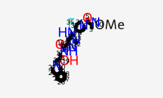 CO/N=C(\C)C(=O)N1CCC(Nc2cc(C(=O)NC[C@H](O)CN3CCc4ccccc4C3)ncn2)C(F)C1